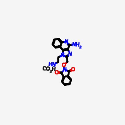 Nc1nc2ccccc2c2c1nc(CON1C(=O)c3ccccc3C1=O)n2CCNC(=O)O